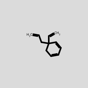 C=CCC1(C=C)C=CC=CC1